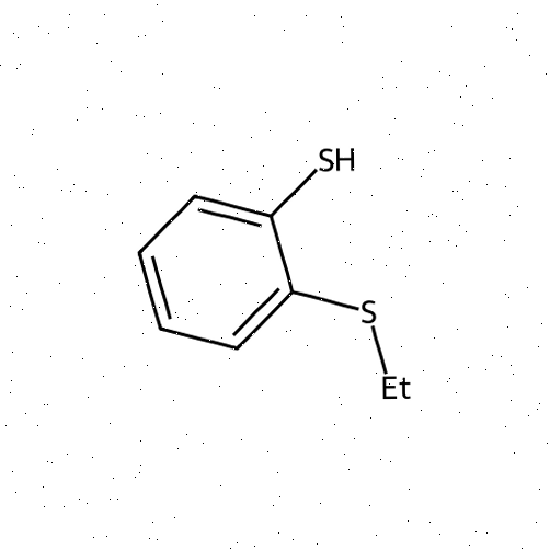 CCSc1ccccc1S